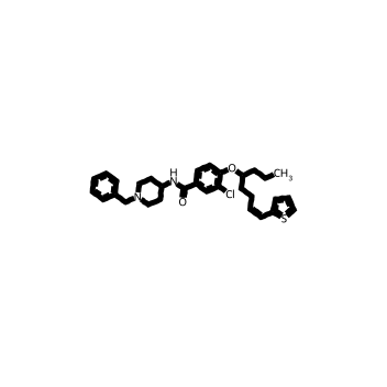 CCCC(CC/C=C\c1cccs1)Oc1ccc(C(=O)NC2CCN(Cc3ccccc3)CC2)cc1Cl